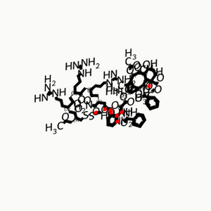 CC(=O)C[C@H](CSSCCOC(=O)O[C@@H](C(=O)O[C@H]1C[C@@]2(O)[C@@H](OC(=O)c3ccccc3)[C@@H]3[C@]4(OC(C)=O)CO[C@@H]4C[C@H](O)[C@@]3(C)C(=O)[C@H](OC(C)=O)C(=C1C)C2(C)C)[C@@H](NC(=O)c1ccccc1)c1ccccc1)C(=O)C[C@H](CCCNC(=N)N)C(=O)C[C@H](CCCNC(=N)N)C(=O)C[C@H](CCCNC(=N)N)C(=O)C[C@H](CCCNC(=N)N)C(N)=O